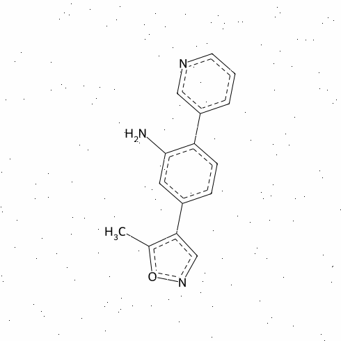 Cc1oncc1-c1ccc(-c2cccnc2)c(N)c1